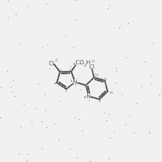 O=C(O)c1c(Cl)ccn1-c1ncccc1Cl